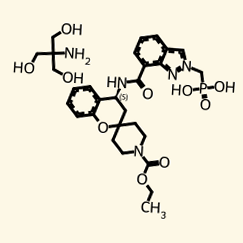 CCOC(=O)N1CCC2(CC1)C[C@H](NC(=O)c1cccc3cn(CP(=O)(O)O)nc13)c1ccccc1O2.NC(CO)(CO)CO